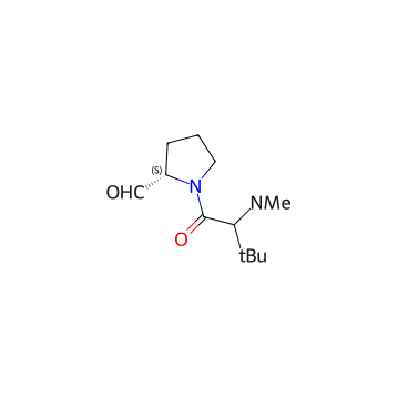 CNC(C(=O)N1CCC[C@H]1C=O)C(C)(C)C